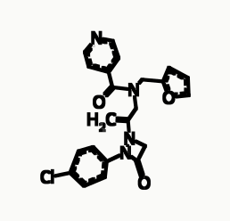 C=C(CN(Cc1ccco1)C(=O)c1ccncc1)N1CC(=O)N1c1ccc(Cl)cc1